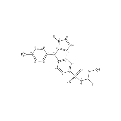 CC(CO)NS(=O)(=O)c1ccc2c(c1)c1nnn(C)c1n2-c1ccc(C(F)(F)F)cc1